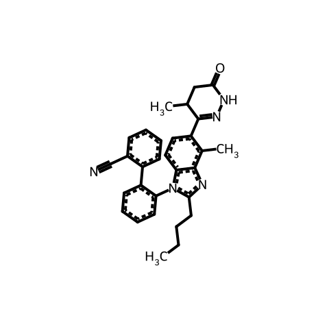 CCCCc1nc2c(C)c(C3=NNC(=O)CC3C)ccc2n1-c1ccccc1-c1ccccc1C#N